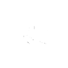 Cc1nn(-c2cncc(C(C)(C)O)c2)c2c(F)ccc(Cl)c12